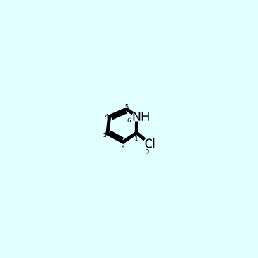 ClC1C=CC=CN1